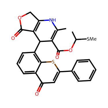 CSC(C)OC(=O)C1=C(C)NC2=C(C(=O)OC2)C1c1cccc2c(=O)cc(-c3ccccc3)sc12